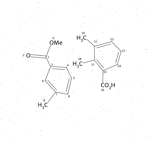 COC(=O)c1cccc(C)c1.Cc1cccc(C(=O)O)c1C